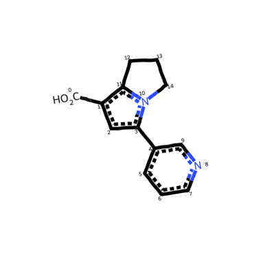 O=C(O)c1cc(-c2cccnc2)n2c1CCC2